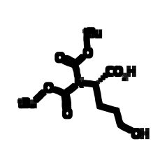 CC(C)(C)OC(=O)N(C(=O)OC(C)(C)C)[C@@H](CCCO)C(=O)O